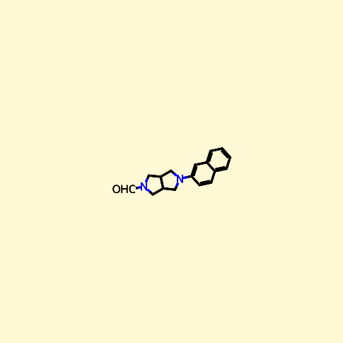 O=CN1CC2CN(c3ccc4ccccc4c3)CC2C1